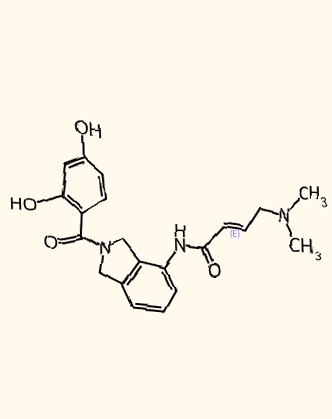 CN(C)C/C=C/C(=O)Nc1cccc2c1CN(C(=O)c1ccc(O)cc1O)C2